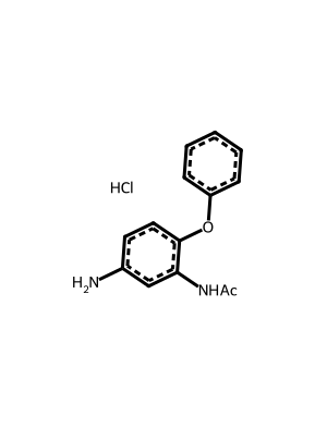 CC(=O)Nc1cc(N)ccc1Oc1ccccc1.Cl